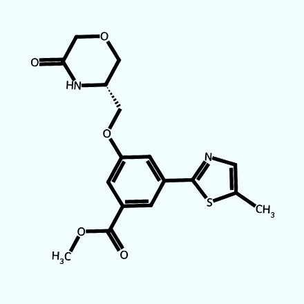 COC(=O)c1cc(OC[C@H]2COCC(=O)N2)cc(-c2ncc(C)s2)c1